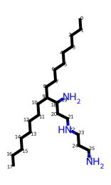 CCCCCCCCCC(CCCCCCCC)C(N)CCNCCCN